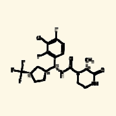 C[C@@H]1C(=O)NCCN1C(=O)N[C@@H](c1ccc(F)c(Cl)c1F)[C@H]1CC[C@@H](C(F)(F)F)C1